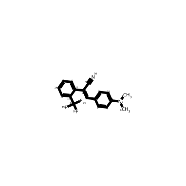 CN(C)c1ccc(/C=C(\C#N)c2ccccc2C(F)(F)F)cc1